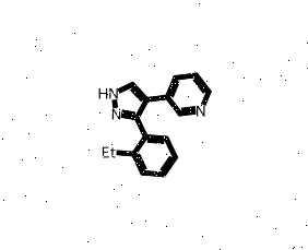 CCc1ccccc1-c1n[nH]cc1-c1cccnc1